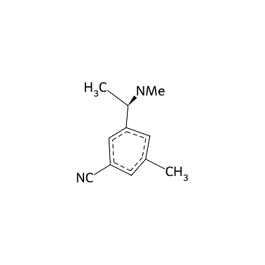 CN[C@H](C)c1cc(C)cc(C#N)c1